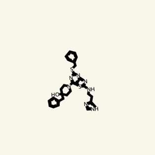 OC1(Cc2ccccc2)CCN(c2nc(SCc3ccccc3)nc3nc(NCCc4c[nH]cn4)sc23)CC1